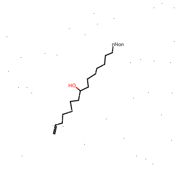 C=CCCCCCC(O)CCCCCCCCCCCCCCCC